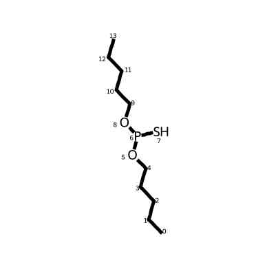 CCCCCOP(S)OCCCCC